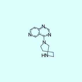 c1cc2ncnc(N3CCC4(CCN4)C3)c2cn1